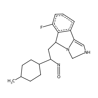 CC1CCC(C(CC2c3c(F)cccc3C3=CNCN32)N=O)CC1